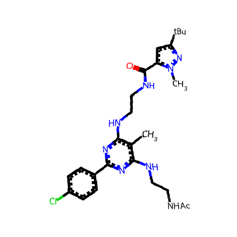 CC(=O)NCCNc1nc(-c2ccc(Cl)cc2)nc(NCCNC(=O)c2cc(C(C)(C)C)nn2C)c1C